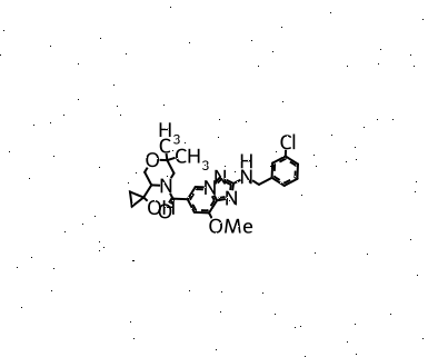 COc1cc(C(=O)N2CC(C)(C)OCC2C2(O)CC2)cn2nc(NCc3cccc(Cl)c3)nc12